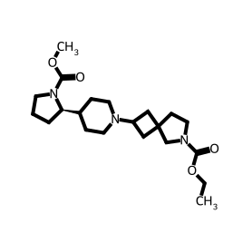 CCOC(=O)N1CCC2(CC(N3CCC([C@H]4CCCN4C(=O)OC)CC3)C2)C1